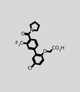 O=C(O)COc1ccc(Cl)cc1-c1ccc(C(=O)N2CCCC2)c(C(F)(F)F)c1